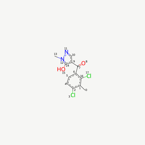 Cc1c(Cl)ccc(C(=O)c2cnn(C)c2O)c1Cl